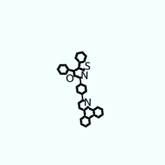 c1ccc2c(c1)oc1c(-c3ccc(-c4ccc5c6ccccc6c6ccccc6c5n4)cc3)nc3sc4ccccc4c3c12